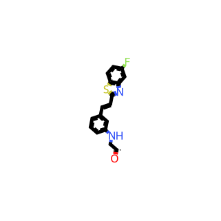 O=[C]CNc1cccc(C=Cc2nc3cc(F)ccc3s2)c1